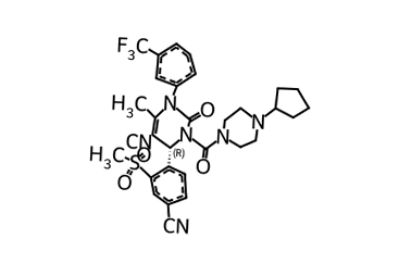 [C-]#[N+]C1=C(C)N(c2cccc(C(F)(F)F)c2)C(=O)N(C(=O)N2CCN(C3CCCC3)CC2)[C@@H]1c1ccc(C#N)cc1S(C)(=O)=O